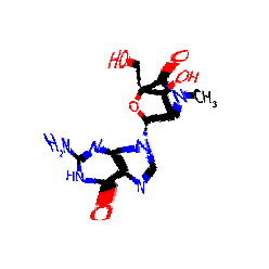 CN1C(=O)[C@@]2(CO)O[C@@H](n3cnc4c(=O)[nH]c(N)nc43)C1C2O